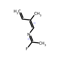 C=C/C(C)=C\N=C(/C)F